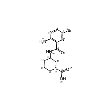 Nc1ncc(Br)nc1C(=O)NC1CCCN(C(=O)O)C1